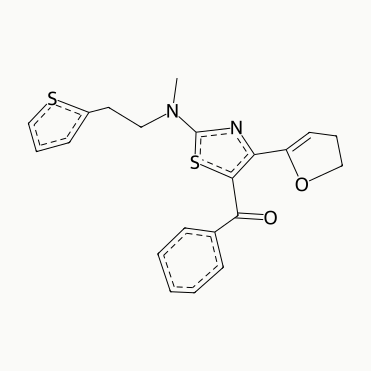 CN(CCc1cccs1)c1nc(C2=CCCO2)c(C(=O)c2ccccc2)s1